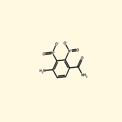 NC(=O)c1ccc(N)c([N+](=O)[O-])c1[N+](=O)[O-]